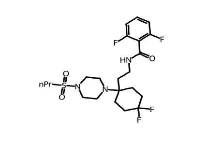 CCCS(=O)(=O)N1CCN(C2(CCNC(=O)c3c(F)cccc3F)CCC(F)(F)CC2)CC1